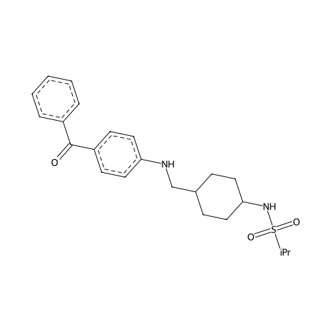 CC(C)S(=O)(=O)NC1CCC(CNc2ccc(C(=O)c3ccccc3)cc2)CC1